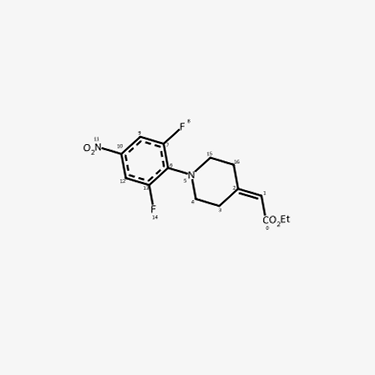 CCOC(=O)C=C1CCN(c2c(F)cc([N+](=O)[O-])cc2F)CC1